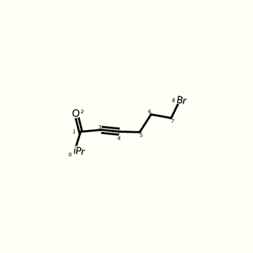 CC(C)C(=O)C#CCCCBr